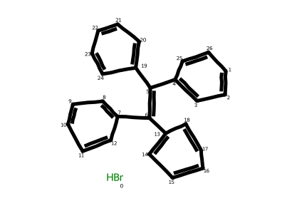 Br.c1ccc(C(=C(c2ccccc2)c2ccccc2)c2ccccc2)cc1